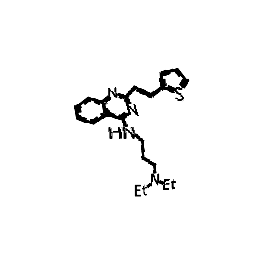 CCN(CC)CCCNc1nc(C=Cc2cccs2)nc2ccccc12